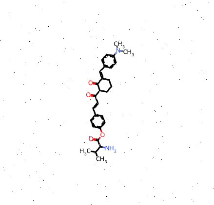 CC(C)C(N)C(=O)Oc1ccc(C=CC(=O)C2CCCC(=Cc3ccc(N(C)C)cc3)C2=O)cc1